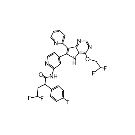 O=C(Nc1cc(-c2[nH]c3c(OCC(F)F)ncnc3c2-c2ccccn2)ccn1)C(CC(F)F)c1ccc(F)cc1